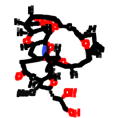 C=C1C[C@@H]2CC[C@@]34C[C@H]5OC6[C@@H](O[C@H]7CC[C@@H]8CC(=O)C[C@@H]9[C@@H](OC)[C@@H](C[C@H](O)CO)O[C@H]9C[C@H]9O[C@@H](CC[C@@H]1O2)C[C@@H](C)/C9=N/[C@@]7(O8)[C@@H]6O3)[C@H]5O4